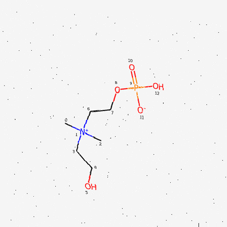 C[N+](C)(CCO)CCOP(=O)([O-])O